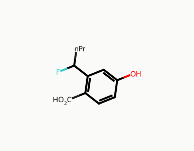 CCCC(F)c1cc(O)ccc1C(=O)O